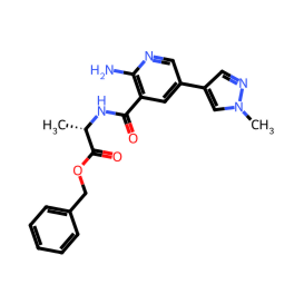 C[C@H](NC(=O)c1cc(-c2cnn(C)c2)cnc1N)C(=O)OCc1ccccc1